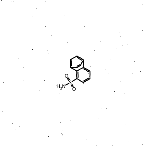 NS(=O)(=O)c1[c]ccc2c3ccc(cc3)c12